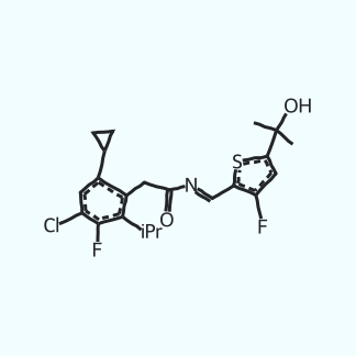 CC(C)c1c(F)c(Cl)cc(C2CC2)c1CC(=O)N=Cc1sc(C(C)(C)O)cc1F